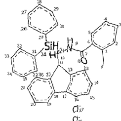 Cc1ccccc1C(=O)[NH][Hf+2]([CH]1c2ccccc2-c2ccccc21)[SiH](c1ccccc1)c1ccccc1.[Cl-].[Cl-]